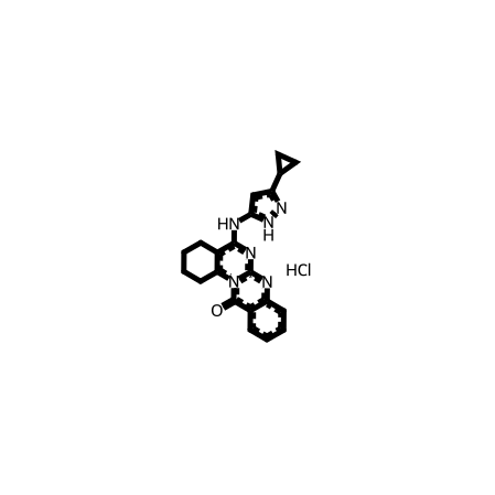 Cl.O=c1c2ccccc2nc2nc(Nc3cc(C4CC4)n[nH]3)c3c(n12)CCCC3